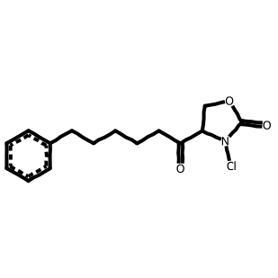 O=C(CCCCCc1ccccc1)C1COC(=O)N1Cl